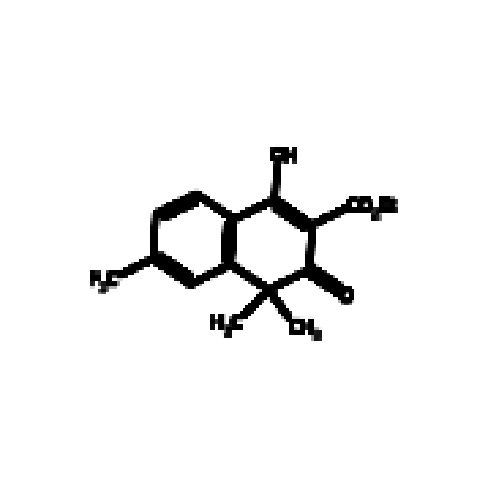 CCOC(=O)C1=C(O)c2ccc(C(F)(F)F)cc2C(C)(C)C1=O